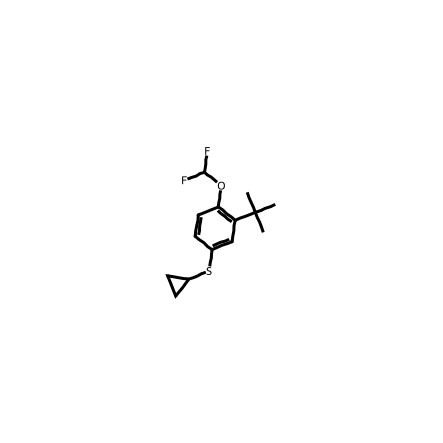 CC(C)(C)c1cc(SC2CC2)ccc1OC(F)F